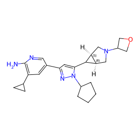 Nc1ncc(-c2cc(C3[C@H]4CN(C5COC5)C[C@@H]34)n(C3CCCC3)n2)cc1C1CC1